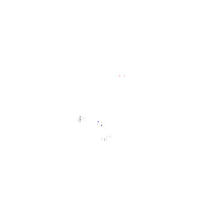 CCCN(CC1CCCCCOC1)C(C)C